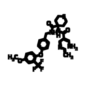 C=C/N=C\C(=C/N)C(=O)NC1(C(=O)NCc2ccc(Oc3ccc(OC)cc3C(F)(F)F)cc2)CCSCC1